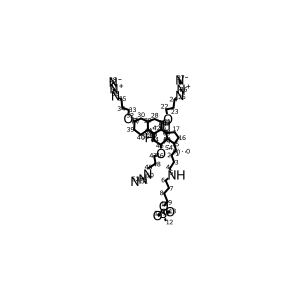 C[C@H](CCCNCCCCOS(C)(=O)=O)C1CC[C@H]2C3[C@H](OCCCN=[N+]=[N-])CC4C[C@H](OCCCN=[N+]=[N-])CC[C@]4(C)[C@H]3CC(OCCCN=[N+]=[N-])[C@]12C